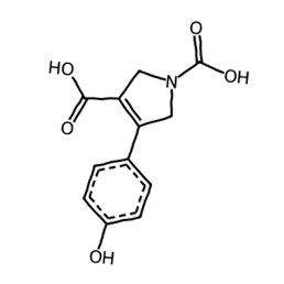 O=C(O)C1=C(c2ccc(O)cc2)CN(C(=O)O)C1